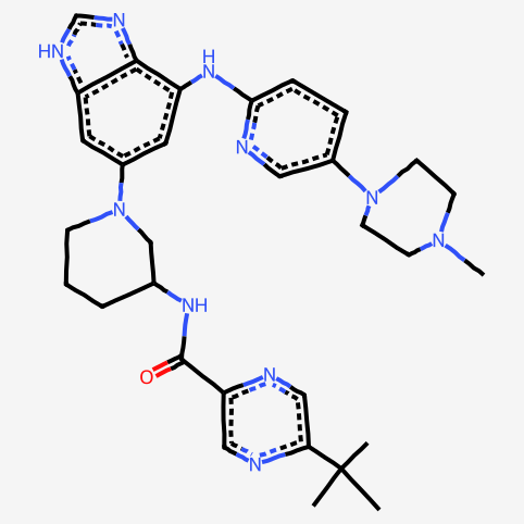 CN1CCN(c2ccc(Nc3cc(N4CCCC(NC(=O)c5cnc(C(C)(C)C)cn5)C4)cc4[nH]cnc34)nc2)CC1